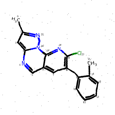 Cc1cc2ncc3cc(-c4ccccc4C)c(Cl)nc3n2n1